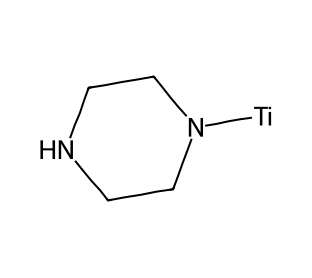 [Ti][N]1CCNCC1